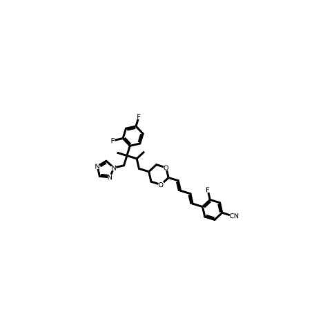 CC(CC1COC(/C=C/C=C/c2ccc(C#N)cc2F)OC1)C(C)(Cn1cncn1)c1ccc(F)cc1F